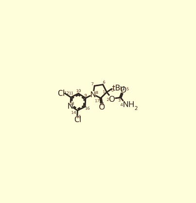 CC(C)(C)C1(OC(N)=O)CCN(c2cc(Cl)nc(Cl)c2)C1=O